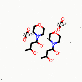 CC([O-])CC([O-])N1CCOCC1.CC([O-])CC([O-])N1CCOCC1.[O]=[Mo+2]=[O].[O]=[Mo+2]=[O]